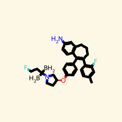 BC(B)(CCF)N1CC[C@H](Oc2ccc(C3=C(c4ccc(C)cc4F)CCCc4cc(N)ccc43)cc2)C1